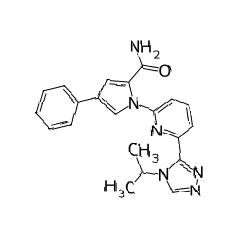 CC(C)n1cnnc1-c1cccc(-n2cc(-c3ccccc3)cc2C(N)=O)n1